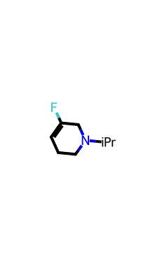 CC(C)N1CCC=C(F)C1